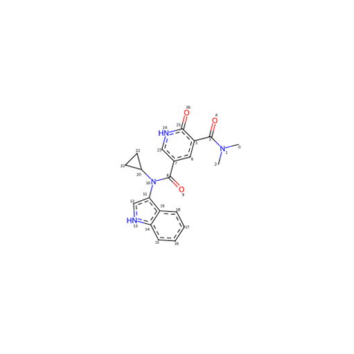 CN(C)C(=O)c1cc(C(=O)N(c2c[nH]c3ccccc23)C2CC2)c[nH]c1=O